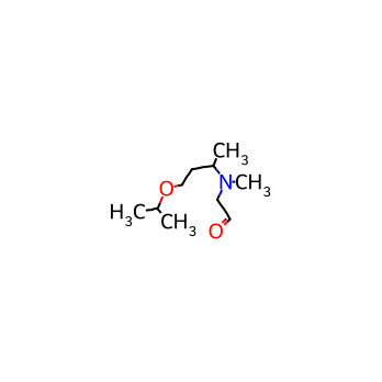 CC(C)OCCC(C)N(C)CC=O